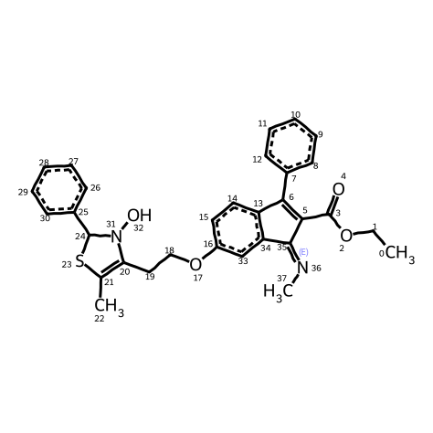 CCOC(=O)C1=C(c2ccccc2)c2ccc(OCCC3=C(C)SC(c4ccccc4)N3O)cc2/C1=N\C